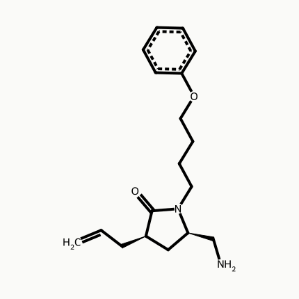 C=CC[C@@H]1C[C@H](CN)N(CCCCOc2ccccc2)C1=O